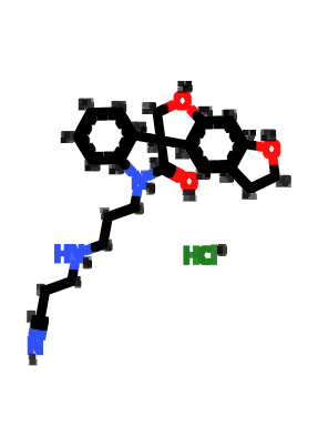 Cl.N#CCCNCCCN1C(=O)C2(COc3cc4c(cc32)CCO4)c2ccccc21